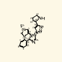 FN1C=C2N(C1)c1ccccc1C1N=CN(n3cc(C4CCCN4)nn3)N21